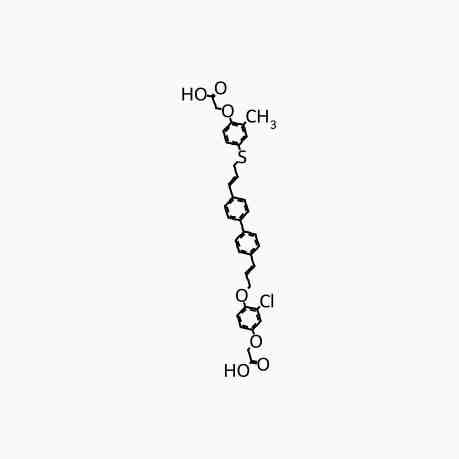 Cc1cc(SCC=Cc2ccc(-c3ccc(C=CCOc4ccc(OCC(=O)O)cc4Cl)cc3)cc2)ccc1OCC(=O)O